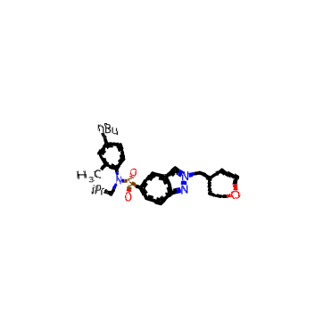 CCCCc1ccc(N(CC(C)C)S(=O)(=O)c2ccc3nn(CC4CCOCC4)cc3c2)c(C)c1